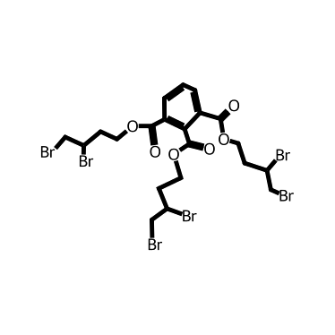 O=C(OCCC(Br)CBr)c1cccc(C(=O)OCCC(Br)CBr)c1C(=O)OCCC(Br)CBr